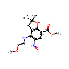 COCCNc1c(N=O)cc(C(=O)OC)c2c1CC(C)(C)O2